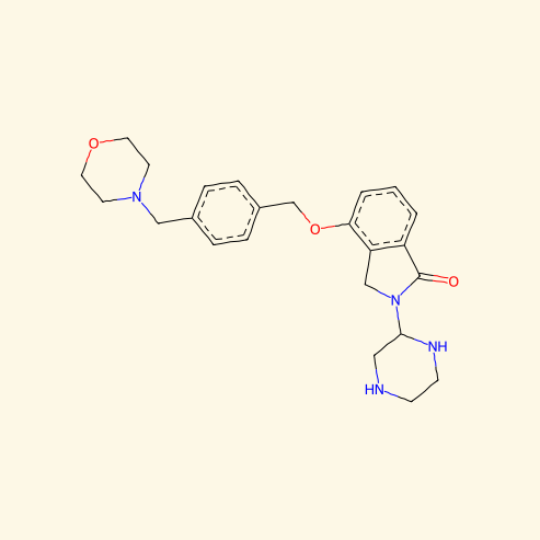 O=C1c2cccc(OCc3ccc(CN4CCOCC4)cc3)c2CN1C1CNCCN1